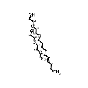 CCCCCCCCCCOCCOCCO.CCOCCOCCO